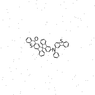 O=c1c2ccccc2sc2cc3c(cc12)C1(c2ccccc2-c2cc(N(c4ccccc4)c4ccc5sc6ccccc6c5c4)ccc21)c1ccccc1-3